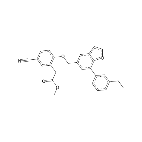 CCc1cccc(-c2cc(COc3ccc(C#N)cc3CC(=O)OC)cc3ccoc23)c1